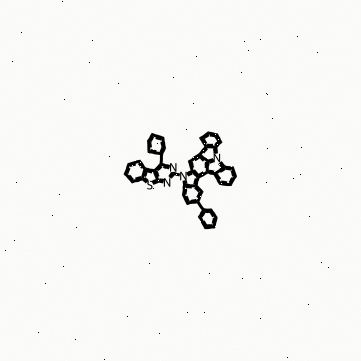 c1ccc(-c2ccc3c(c2)c2c4c5ccccc5n5c6ccccc6c(cc2n3-c2nc(-c3ccccc3)c3c(n2)sc2ccccc23)c45)cc1